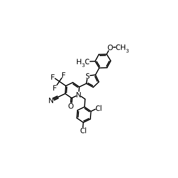 COc1ccc(-c2ccc(-c3cc(C(F)(F)F)c(C#N)c(=O)n3Cc3ccc(Cl)cc3Cl)s2)c(C)c1